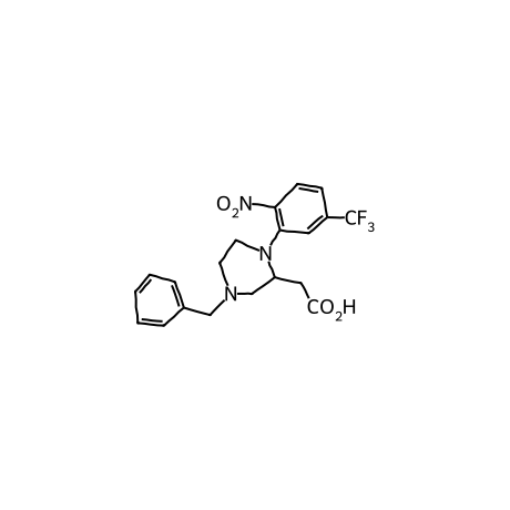 O=C(O)CC1CN(Cc2ccccc2)CCN1c1cc(C(F)(F)F)ccc1[N+](=O)[O-]